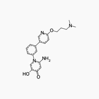 CN(C)CCCOc1ccc(-c2cccc(-n3cc(O)c(=O)cc3N)c2)cn1